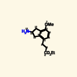 CCOC(=O)CCc1ccc(OC)c2c1CC(N)C2